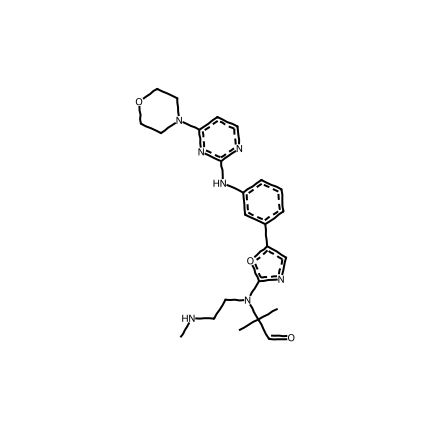 CNCCN(c1ncc(-c2cccc(Nc3nccc(N4CCOCC4)n3)c2)o1)C(C)(C)C=O